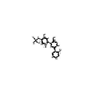 Cc1cc(-c2cc(-c3ccccc3C)ccc2C)[n+](C)cc1CC(C)(C)C